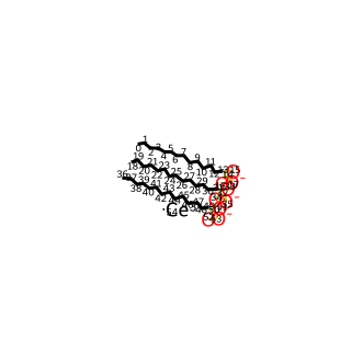 CCCCCCCCCCCCCCS(=O)(=O)[O-].CCCCCCCCCCCCCCS(=O)(=O)[O-].CCCCCCCCCCCCCCS(=O)(=O)[O-].[Ce+3]